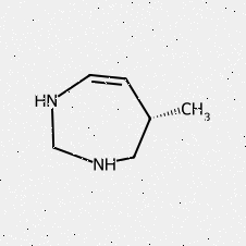 C[C@H]1C=CNCNC1